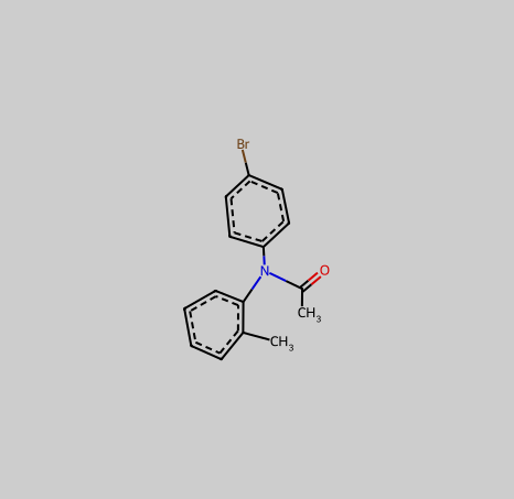 CC(=O)N(c1ccc(Br)cc1)c1ccccc1C